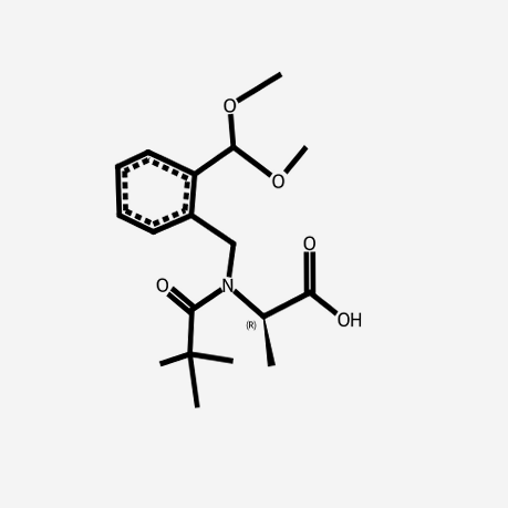 COC(OC)c1ccccc1CN(C(=O)C(C)(C)C)[C@H](C)C(=O)O